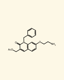 CC(=O)OCc1cc2ccc(OCCN)cc2n(Cc2ccccc2)c1=O